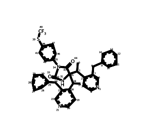 CC(c1ccncc1Cc1ccccc1)C1(C(C)c2ccncc2Cc2ccccc2)NC(=O)N(c2ccc(SC(F)(F)F)cc2)C1=O